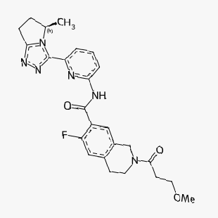 COCCC(=O)N1CCc2cc(F)c(C(=O)Nc3cccc(-c4nnc5n4[C@H](C)CC5)n3)cc2C1